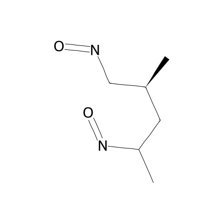 CC(C[C@H](C)CN=O)N=O